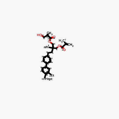 C=C(C)C(=O)OCC(CCC)(CCc1ccc(-c2ccc(CCCCCCC)c(CC)c2)cc1)COC(=O)C(=C)CO